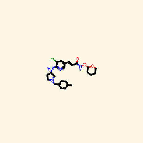 Cc1ccc(CN2CC[C@@H](Nc3ncc(C=CC(=O)NOC4CCCCO4)cc3Cl)C2)cc1